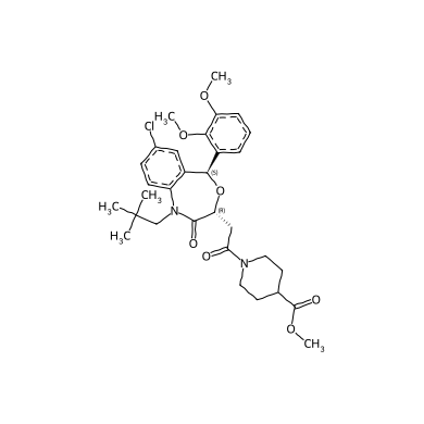 COC(=O)C1CCN(C(=O)C[C@H]2O[C@H](c3cccc(OC)c3OC)c3cc(Cl)ccc3N(CC(C)(C)C)C2=O)CC1